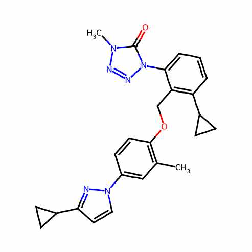 Cc1cc(-n2ccc(C3CC3)n2)ccc1OCc1c(C2CC2)cccc1-n1nnn(C)c1=O